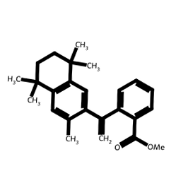 C=C(c1cc2c(cc1C)C(C)(C)CCC2(C)C)c1ccccc1C(=O)OC